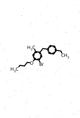 CCCCOc1cc(C)c(Cc2ccc(CC)cc2)cc1Br